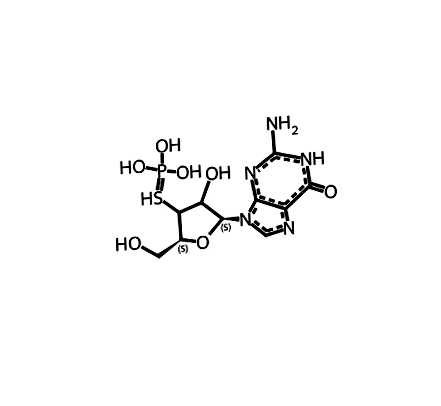 Nc1nc2c(ncn2[C@H]2O[C@@H](CO)C([SH]=P(O)(O)O)C2O)c(=O)[nH]1